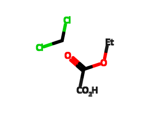 CCOC(=O)C(=O)O.ClCCl